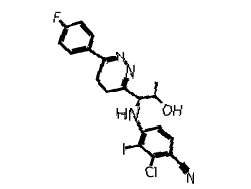 C[C@@H](O)[C@@H](Nc1ccc(C#N)c(Cl)c1I)C1=NN=C(c2ccc(F)cc2)CC1